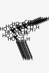 O=C(O)CC(O)(CC(=O)O)C(=O)O.O=C(O)CC(O)(CC(=O)O)C(=O)O.O=C(O)CC(O)(CC(=O)O)C(=O)O.O=C(O)CC(O)(CC(=O)O)C(=O)O.[NaH].[NaH].[NaH].[NaH].[NaH].[NaH].[NaH].[NaH].[NaH].[NaH].[NaH].[NaH].[NaH].[NaH].[NaH].[NaH].[NaH].[NaH].[NaH].[NaH].[NaH].[NaH].[NaH]